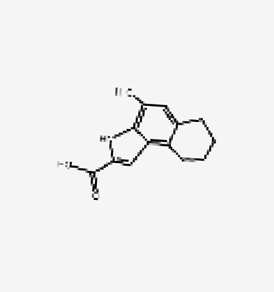 Cc1cc2c(c3cc(C(=O)O)[nH]c13)CCCC2